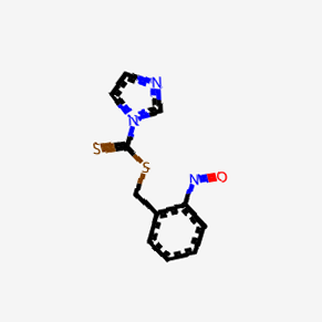 O=Nc1ccccc1CSC(=S)n1ccnc1